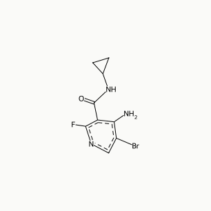 Nc1c(Br)cnc(F)c1C(=O)NC1CC1